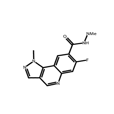 CNNC(=O)c1cc2c(cc1F)ncc1cnn(C)c12